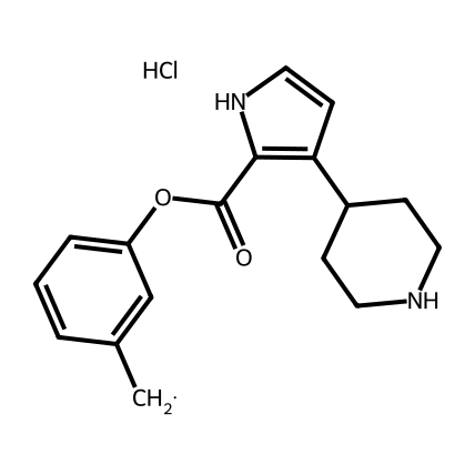 Cl.[CH2]c1cccc(OC(=O)c2[nH]ccc2C2CCNCC2)c1